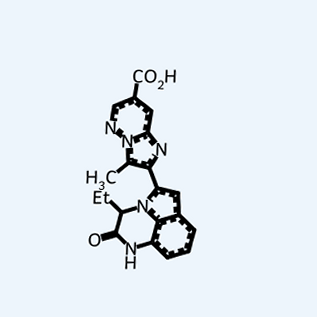 CCC1C(=O)Nc2cccc3cc(-c4nc5cc(C(=O)O)cnn5c4C)n1c23